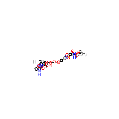 CC(C)(C)OC(=O)CNC(=O)c1ccc(S(=O)(=O)N2CCC(c3ccc(OCCOCCOCCOc4cc(C(C)(C)C)c(NC(=O)c5c[nH]c6ccccc6c5=O)cc4O)cc3)CC2)cc1